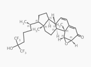 C[C@H](CCCC(O)(C(F)(F)F)C(F)(F)F)[C@H]1CC[C@H]2[C@@H]3C=CC4=CC(=O)[C@@H]5O[C@@H]5[C@]4(C)[C@H]3CC[C@]12C